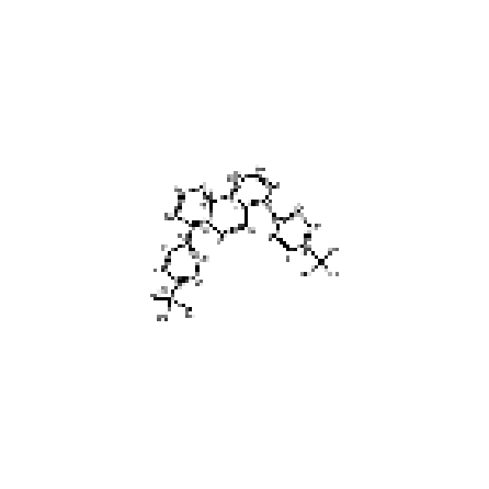 CC(C)(C)c1ccc(-c2ccnc3c2ccc2c(-c4ccc(C(C)(C)C)cc4)ccnc23)cc1